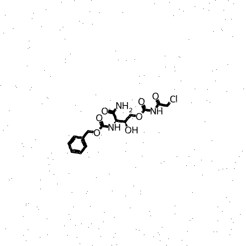 NC(=O)[C@@H](NC(=O)OCc1ccccc1)[C@H](O)COC(=O)NC(=O)CCl